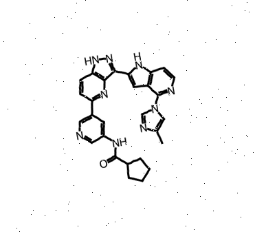 Cc1cn(-c2nccc3[nH]c(-c4n[nH]c5ccc(-c6cncc(NC(=O)C7CCCC7)c6)nc45)cc23)cn1